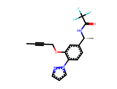 CC#CCOc1cc([C@@H](C)NC(=O)C(F)(F)F)ccc1-n1cccn1